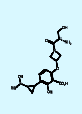 N[C@@H](CO)C(=O)N1CC(Oc2ccc(C3CC3B(O)O)c(O)c2C(=O)O)C1